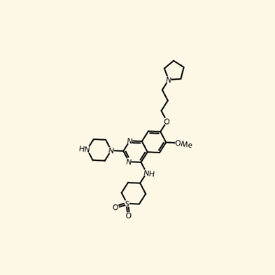 COc1cc2c(NC3CCS(=O)(=O)CC3)nc(N3CCNCC3)nc2cc1OCCCN1CCCC1